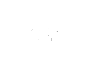 CC(=O)O[C@H]1[C@H](C)C[C@H]2[C@@H]3CCC4=CC(=O)CCC4=C3C=C[C@@]21C